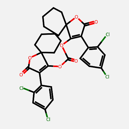 O=C(OC1=C(c2ccc(Cl)cc2Cl)C(=O)OC12CCCCC2)OC1=C(c2ccc(Cl)cc2Cl)C(=O)OC12CCCCC2